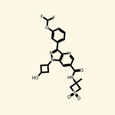 CC1(NC(=O)c2cnc3c(-c4cccc(OC(F)F)c4)nn(C4CC(O)C4)c3c2)CS(=O)(=O)C1